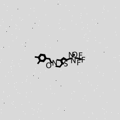 Cc1ccc(CC(=O)N2CCc3sc(-c4noc(C(F)(F)F)n4)cc3C2)cc1C